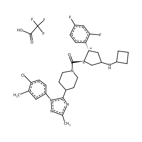 Cc1nc(C2CCN(C(=O)[C@@H]3CC(NC4CCC4)C[C@H]3c3ccc(F)cc3F)CC2)n(-c2ccc(Cl)c(C)c2)n1.O=C(O)C(F)(F)F